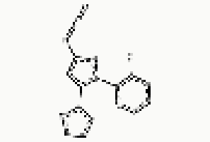 O=C=Nc1cc(-c2ccco2)n(-c2ncccc2Cl)n1